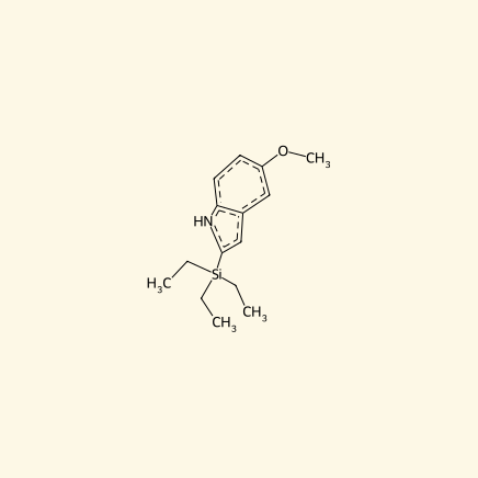 CC[Si](CC)(CC)c1cc2cc(OC)ccc2[nH]1